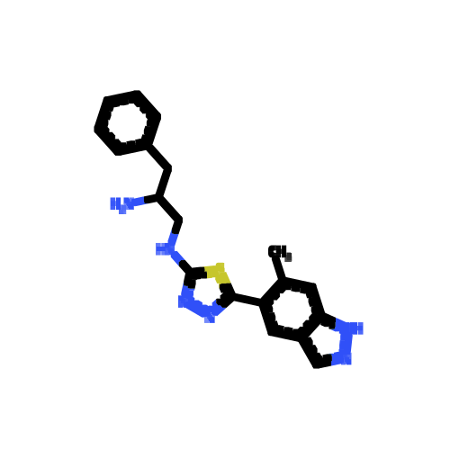 Cc1cc2[nH]ncc2cc1-c1nnc(NCC(N)Cc2ccccc2)s1